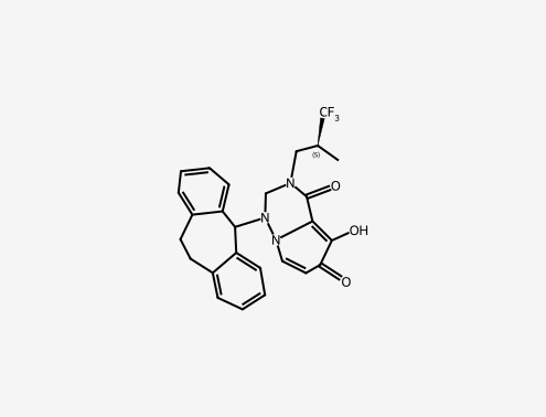 C[C@@H](CN1CN(C2c3ccccc3CCc3ccccc32)n2ccc(=O)c(O)c2C1=O)C(F)(F)F